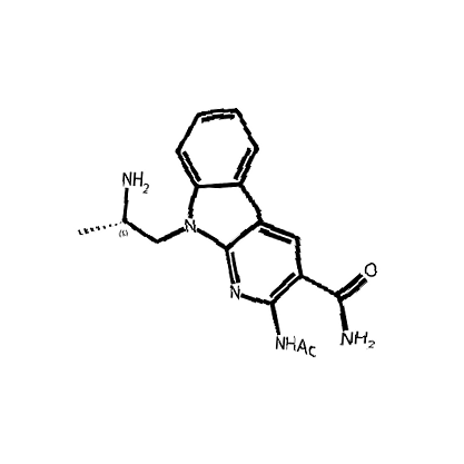 CC(=O)Nc1nc2c(cc1C(N)=O)c1ccccc1n2C[C@H](C)N